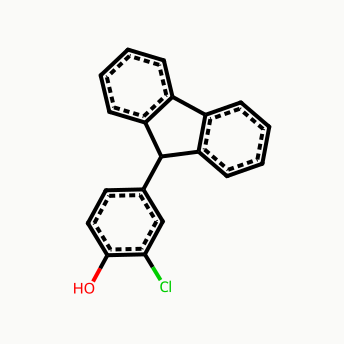 Oc1ccc(C2c3ccccc3-c3ccccc32)cc1Cl